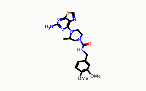 COc1ccc(CNC(=O)N2CCN(c3nc(N)nc4scnc34)C(C)C2)cc1OC